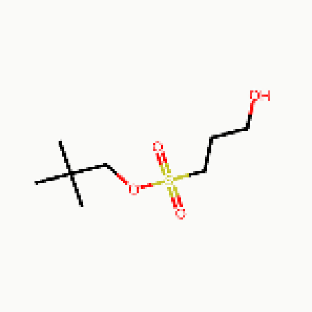 CC(C)(C)COS(=O)(=O)CCCO